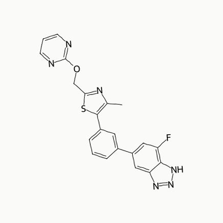 Cc1nc(COc2ncccn2)sc1-c1cccc(-c2cc(F)c3[nH]nnc3c2)c1